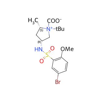 COc1ccc(Br)cc1S(=O)(=O)N[C@@H]1C[C@H](C)[N+](C(=O)[O-])(C(C)(C)C)C1